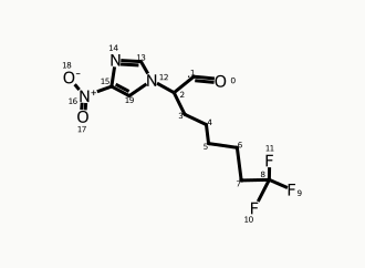 O=[C]C(CCCCCC(F)(F)F)n1cnc([N+](=O)[O-])c1